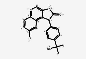 CC(C)(C#N)c1ccc(-n2c(=O)[nH]c3cnc4cnc(Cl)cc4c32)cc1